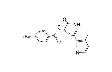 Cc1ccncc1-c1c[nH]c(=O)c(NC(=O)c2ccc(C(C)(C)C)cc2)c1